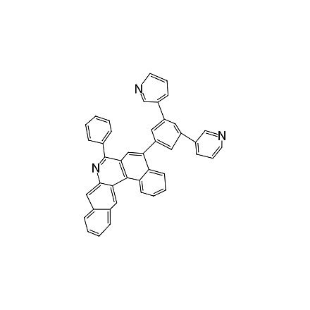 c1ccc(-c2nc3cc4ccccc4cc3c3c2cc(-c2cc(-c4cccnc4)cc(-c4cccnc4)c2)c2ccccc23)cc1